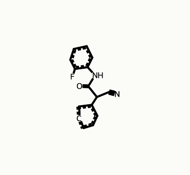 N#CC(C(=O)Nc1ccccc1F)c1ccccc1